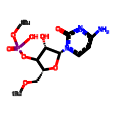 CC(C)(C)OC[C@H]1O[C@@H](n2ccc(N)nc2=O)[C@@H](O)C1OP(=O)(O)OC(C)(C)C